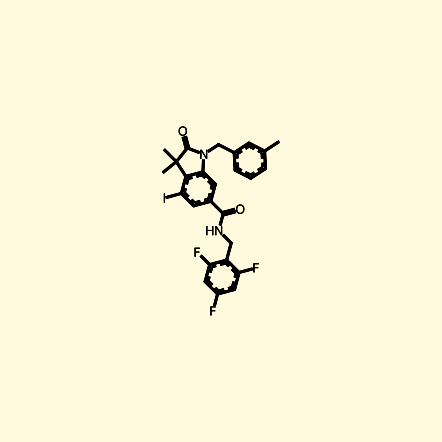 Cc1cccc(CN2C(=O)C(C)(C)c3c(I)cc(C(=O)NCc4c(F)cc(F)cc4F)cc32)c1